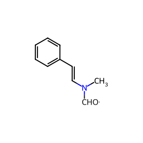 CN([C]=O)C=Cc1ccccc1